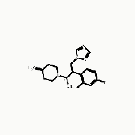 C=C1CCN([C@H](C)C(Cn2cncn2)c2ccc(F)cc2F)CC1